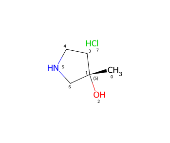 C[C@]1(O)CCNC1.Cl